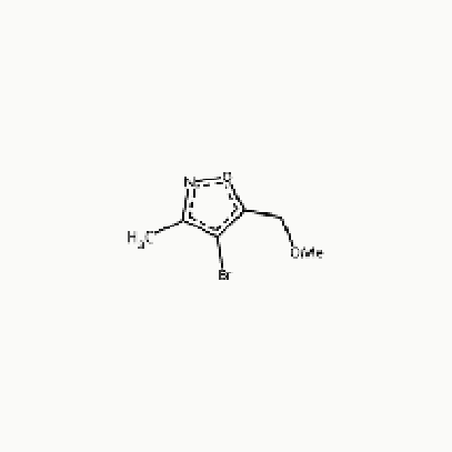 COCc1onc(C)c1Br